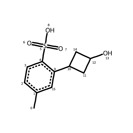 Cc1ccc(S(=O)(=O)O)c(C2CC(O)C2)c1